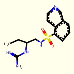 CCC(CNS(=O)(=O)c1cccc2cnccc12)NC(=N)N